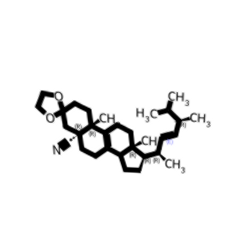 CC(C)[C@@H](C)/C=C/[C@@H](C)[C@H]1CCC2C3=C(CC[C@@]21C)[C@@]1(C)CCC2(C[C@]1(C#N)CC3)OCCO2